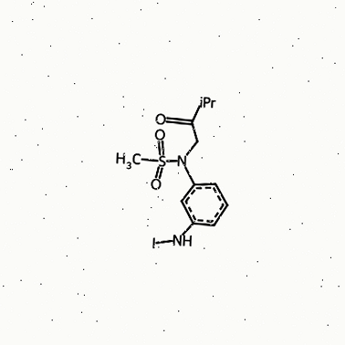 CC(C)C(=O)CN(c1cccc(NI)c1)S(C)(=O)=O